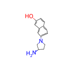 N[C@@H]1CCN(c2ccc3ccc(O)cc3c2)C1